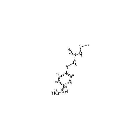 CCOC(=O)OCc1ccc(NO)cc1